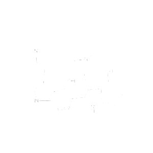 CN(C)CCc1c[nH]c2ccc(-c3[nH]c4cccc(O)c4c3CC[N+](C)(C)C)c(O)c12